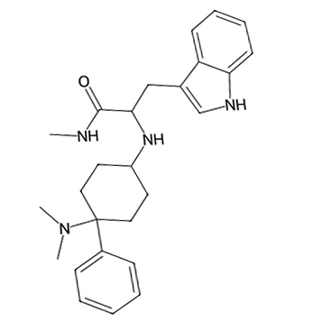 CNC(=O)C(Cc1c[nH]c2ccccc12)NC1CCC(c2ccccc2)(N(C)C)CC1